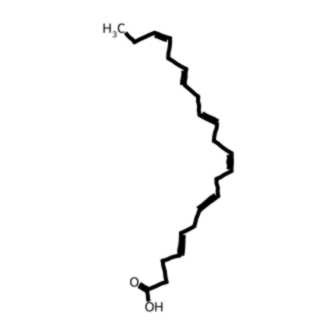 CC/C=C\C/C=C/C/C=C/C/C=C\C/C=C/C/C=C/CCC(=O)O